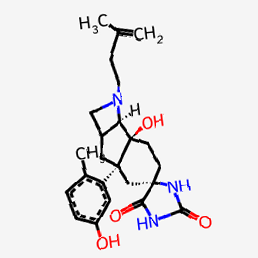 C=C(C)CCN1CC2C[C@]3(c4cc(O)ccc4C)C[C@]4(CC[C@@]3(O)[C@@H]21)NC(=O)NC4=O